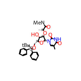 CNC(=O)[C@@H](C)O[C@H]1C(O)[C@@H](CO[Si](c2ccccc2)(c2ccccc2)C(C)(C)C)O[C@H]1n1cc(C)c(=O)[nH]c1=O